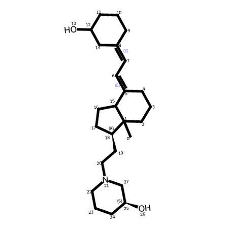 CC12CCC/C(=C\C=C3\CCCC(O)C3)C1CC[C@@H]2CCN1CCC[C@H](O)C1